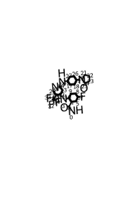 CNC(=O)c1cc(F)ccc1Nc1cc(Nc2ccc(N3CCCC3=O)cc2)ncc1C(F)(F)F